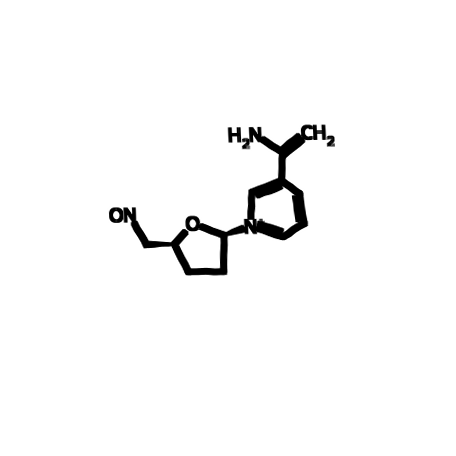 C=C(N)c1ccc[n+]([C@H]2CC[C@@H](CN=O)O2)c1